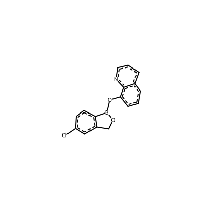 Clc1ccc2c(c1)COB2Oc1cccc2cccnc12